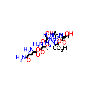 C[C@@H](OC(=O)[C@@H](N)CO)[C@H](N)C(=O)OC(=O)[C@@H](N)CCC(N)=O.C[C@H](N)C(=O)O.N[C@@H](COC(=O)[C@@H](N)CO)C(=O)O